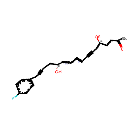 CCC(=O)CC[C@H](O)C#C/C=C/C=C/[C@H](O)CC#Cc1ccc(F)cc1